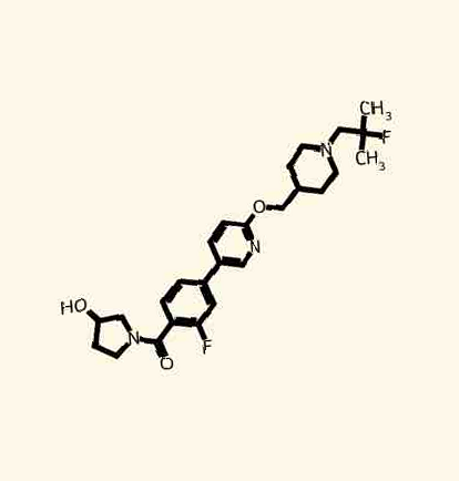 CC(C)(F)CN1CCC(COc2ccc(-c3ccc(C(=O)N4CCC(O)C4)c(F)c3)cn2)CC1